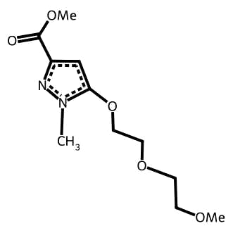 COCCOCCOc1cc(C(=O)OC)nn1C